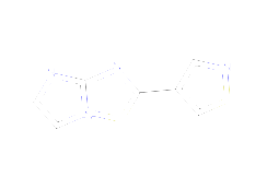 c1cn2sc(-c3cnsc3)nc2n1